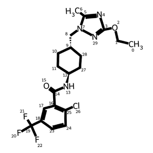 CCOc1nc(C)n(C[C@H]2CC[C@H](NC(=O)c3cc(C(F)(F)F)ccc3Cl)CC2)n1